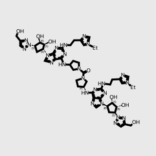 CCn1cnc(CCNc2nc(NC3CCN(C(=O)N4CC[C@@H](Nc5nc(NCCc6cn(CC)cn6)nc6c5ncn6[C@@H]5C[C@H](n6ncc(CO)n6)[C@@H](O)[C@H]5O)C4)C3)c3ncn([C@@H]4C[C@H](n5ncc(CO)n5)[C@@H](O)[C@H]4O)c3n2)c1